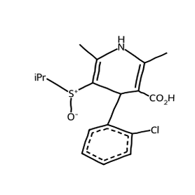 CC1=C(C(=O)O)C(c2ccccc2Cl)C([S+]([O-])C(C)C)=C(C)N1